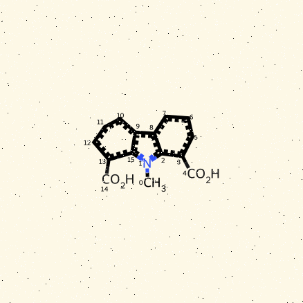 Cn1c2c(C(=O)O)cccc2c2cccc(C(=O)O)c21